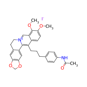 COc1ccc2c(CCCc3ccc(NC(C)=O)cc3)c3[n+](cc2c1OC)CCc1cc2c(cc1-3)OCO2.[I-]